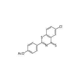 CC(=O)Oc1ccc(-c2nc(=S)c3cc(Cl)ccc3s2)cc1